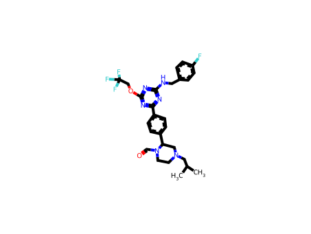 CC(C)CN1CCN(C=O)C(c2ccc(-c3nc(NCc4ccc(F)cc4)nc(OCC(F)(F)F)n3)cc2)C1